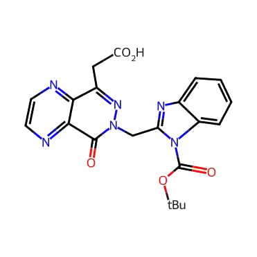 CC(C)(C)OC(=O)n1c(Cn2nc(CC(=O)O)c3nccnc3c2=O)nc2ccccc21